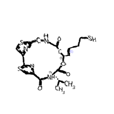 CC(C)[C@@H]1NC(=O)c2csc(n2)-c2csc(n2)CNC(=O)C[C@@H](/C=C/CCS)OC1=O